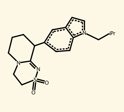 CC(C)Cn1ccc2cc(C3CCCN4CCS(=O)(=O)N=C34)ccc21